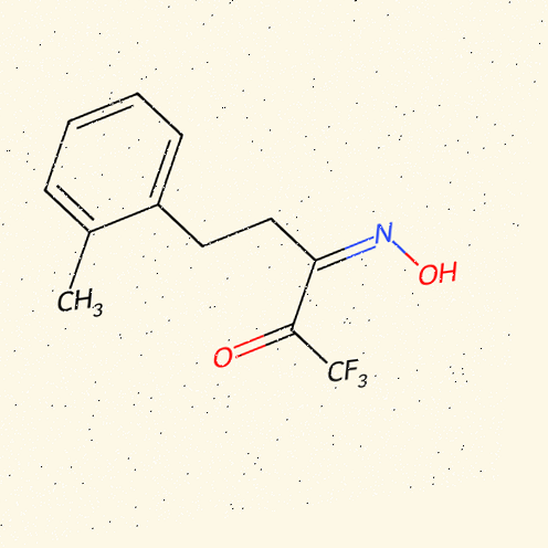 Cc1ccccc1CC/C(=N/O)C(=O)C(F)(F)F